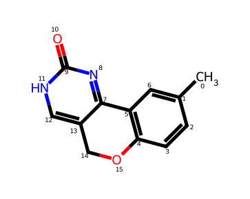 Cc1ccc2c(c1)-c1nc(=O)[nH]cc1CO2